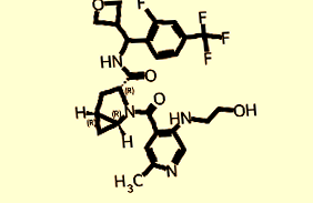 Cc1cc(C(=O)N2[C@@H](C(=O)NC(c3ccc(C(F)(F)F)cc3F)C3COC3)C[C@H]3C[C@H]32)c(NCCO)cn1